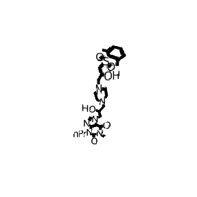 CCCn1c(=O)n(C)c(=O)c2c1ncn2CC(O)CN1CCN(CC(O)CS(=O)(=O)c2c(C)cccc2C)CC1